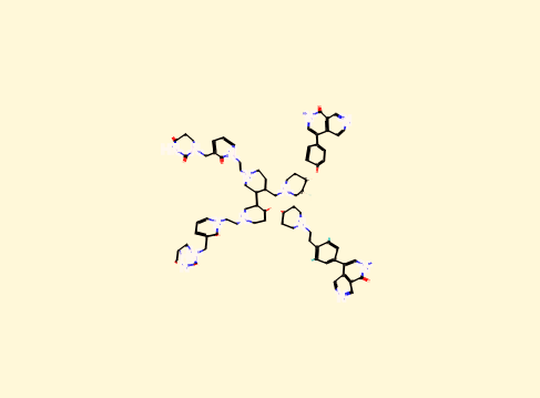 CCCCn1cc(-c2ccc(O[C@H]3CCN(CC4CCN(CCn5cccc(CN6CCC(=O)NC6=O)c5=O)CC4C4CN(CCn5cccc(CN6CCC(=O)NC6=O)c5=O)CCC4OC4CCN(CCc5c(F)cc(-c6cn(C)c(=O)c7cnccc67)cc5F)CC4)C[C@@H]3F)cc2)c2ccncc2c1=O